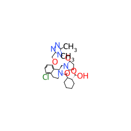 Cc1nnc(COc2ccc(Cl)c3c2[C@@H](CN2CCCC2=O)N(C(=O)C2CCCC[C@H]2C(=O)O)CC3)n1C